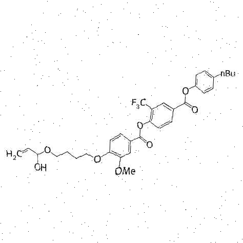 C=CC(O)OCCCCOc1ccc(C(=O)Oc2ccc(C(=O)Oc3ccc(CCCC)cc3)cc2C(F)(F)F)cc1OC